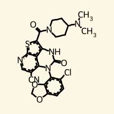 CN(C)C1CCN(C(=O)c2sc3ncc(C#N)c4c3c2NC(=O)N4c2c(Cl)ccc3c2OCO3)CC1